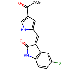 COC(=O)c1c[nH]c(/C=C2\C(=O)Nc3ccc(Br)cc32)c1